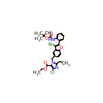 CCOC(=O)c1c(Cl)nc(CC)n1Cc1ccc2oc(-c3ccccc3NC(=O)OC(C)(C)C)c(Br)c2c1